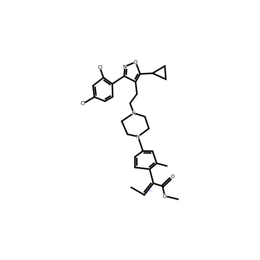 C/C=C(/C(=O)OC)c1ccc(N2CCN(CCc3c(-c4ccc(Cl)cc4Cl)noc3C3CC3)CC2)cc1C